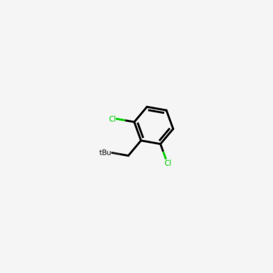 CC(C)(C)Cc1c(Cl)cccc1Cl